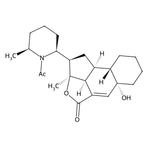 CC(=O)N1[C@@H](C)CCC[C@H]1[C@H]1C[C@@H]2[C@H]3C(=C[C@]4(O)CCCC[C@@H]24)C(=O)O[C@@]13C